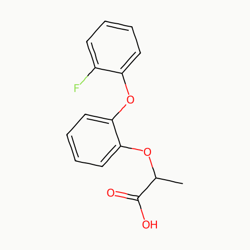 CC(Oc1ccccc1Oc1ccccc1F)C(=O)O